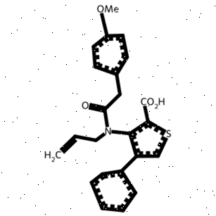 C=CCN(C(=O)Cc1ccc(OC)cc1)c1c(-c2ccccc2)csc1C(=O)O